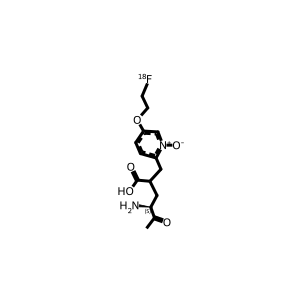 CC(=O)[C@@H](N)CC(Cc1ccc(OCC[18F])c[n+]1[O-])C(=O)O